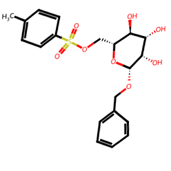 Cc1ccc(S(=O)(=O)OC[C@H]2O[C@@H](OCc3ccccc3)[C@@H](O)[C@@H](O)[C@@H]2O)cc1